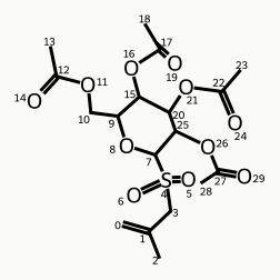 C=C(C)CS(=O)(=O)C1OC(COC(C)=O)C(OC(C)=O)C(OC(C)=O)C1OC(C)=O